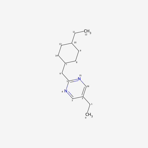 CCc1cnc(CC2CCC(CC)CC2)nc1